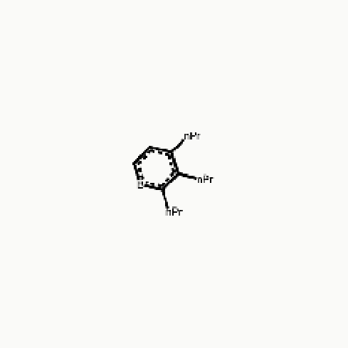 CCCc1bccc(CCC)c1CCC